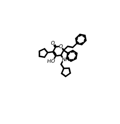 O=C1OC(CCc2ccccc2)(c2ccccc2)C(NCC2CCCC2)C(O)=C1C1CCCC1